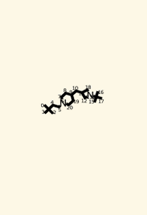 CC(C)(C)CCN1CCC(CC2CN(C(C)(C)C)C2)CC1